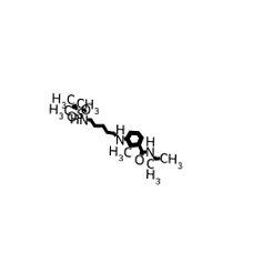 Cc1c(NCCCCCNS(=O)(=O)C(C)(C)C)cccc1C(=O)NC(C)C